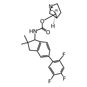 CC1(C)Cc2cc(-c3cc(F)c(F)cc3F)ccc2C1NC(=O)O[C@H]1CN2CCC1CC2